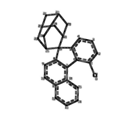 Clc1cccc2c1-c1c(ccc3ccccc13)C21C2CC3CC(C2)CC1C3